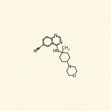 CC1(Nc2ncnc3ccc(C#N)cc23)CCC(N2CCOCC2)CC1